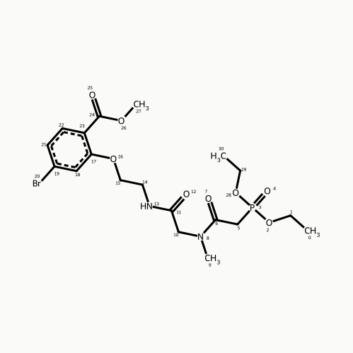 CCOP(=O)(CC(=O)N(C)CC(=O)NCCOc1cc(Br)ccc1C(=O)OC)OCC